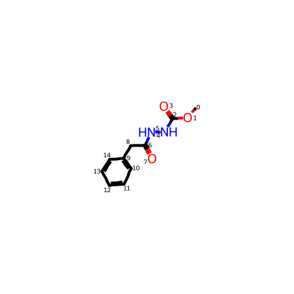 COC(=O)NNC(=O)Cc1ccccc1